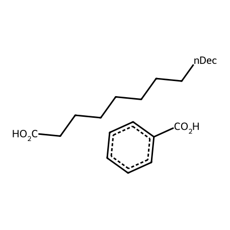 CCCCCCCCCCCCCCCCCC(=O)O.O=C(O)c1ccccc1